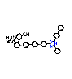 CCCCC1(C)c2cccc(-c3ccc(-c4ccc(-c5ccc(-c6nc(-c7ccccc7)nc(-c7ccc(-c8ccccc8)cc7)n6)cc5)cc4)cc3)c2C2C=C(C#N)C=C[C@@H]21